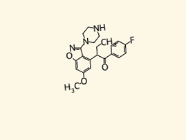 CCC(C(=O)c1ccc(F)cc1)c1cc(OC)cc2onc(N3CCNCC3)c12